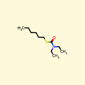 CCCCCCSC(=O)N(CC)CC